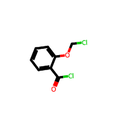 O=C(Cl)c1ccccc1OCCl